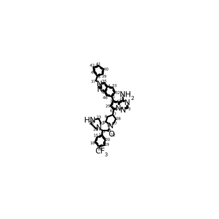 Nc1ncnn2c(C3CCN(C(=O)C(c4ccc(C(F)(F)F)cc4)N4CCNCC4)CC3)cc(-c3ccc4cn(Cc5ccccc5)nc4c3)c12